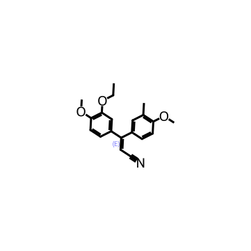 CCOc1cc(/C(=C/C#N)c2ccc(OC)c(C)c2)ccc1OC